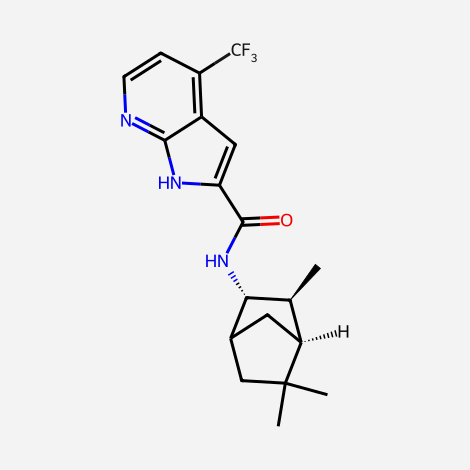 C[C@@H]1[C@@H](NC(=O)c2cc3c(C(F)(F)F)ccnc3[nH]2)C2C[C@@H]1C(C)(C)C2